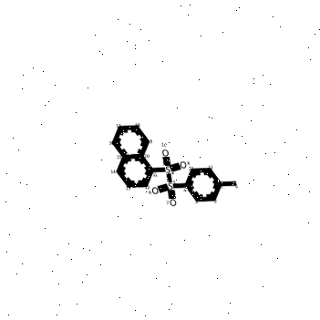 Cc1ccc(S(=O)(=O)S(=O)(=O)c2cccc3ccccc23)cc1